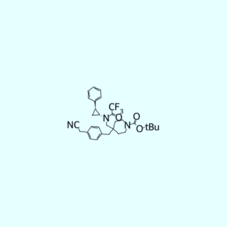 CC(C)(C)OC(=O)N1CCC(Cc2ccc(CC#N)cc2)(CN(C(=O)C(F)(F)F)[C@@H]2C[C@H]2c2ccccc2)CC1